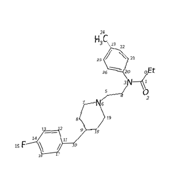 CCC(=O)N(CCN1CCC(Cc2ccc(F)cc2)CC1)c1ccc(C)cc1